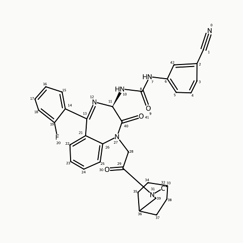 N#Cc1cccc(NC(=O)N[C@@H]2N=C(c3ccccc3F)c3ccccc3N(CC(=O)N3CC4CCC(CC4)C3)C2=O)c1